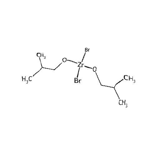 CC(C)C[O][Zr]([Br])([Br])[O]CC(C)C